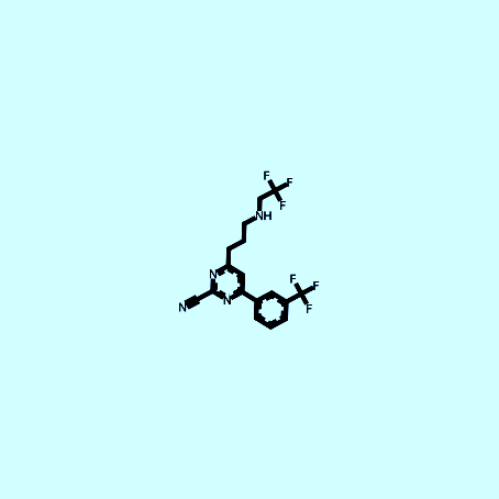 N#Cc1nc(CCCNCC(F)(F)F)cc(-c2cccc(C(F)(F)F)c2)n1